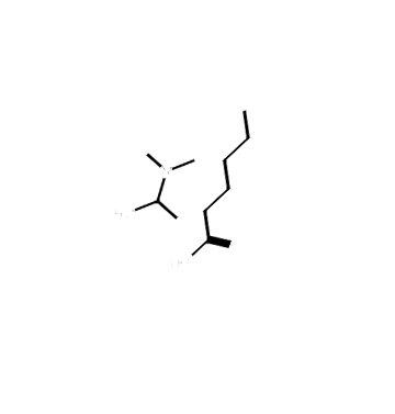 CC(O)N(C)C.CCCCCC(=O)O